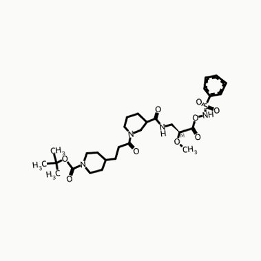 CO[C@@H](CNC(=O)C1CCCN(C(=O)CCC2CCN(C(=O)OC(C)(C)C)CC2)C1)C(=O)ONS(=O)(=O)c1ccccc1